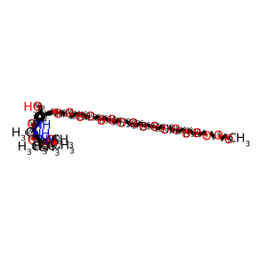 COCCOCCOCCOCCOCCOCCOCCOCCOCCOCCOCCOCCOCCOCCOCCOCCOCC#Cc1cc(NC(=O)[C@H](C)NC(=O)[C@@H](NC(=O)OC(C)(C)C)C(C)C)ccc1CO